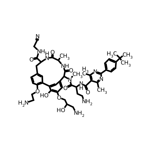 Cc1nc(-c2ccc(C(C)(C)C)cc2)nc(C)c1C(=O)NC(CCN)C(=O)N(C)C1C(=O)NC(C)C(=O)NC(C(=O)NCC#N)Cc2ccc(OCCN)c(c2)-c2cc1cc(OCC(O)CN)c2O